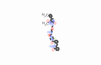 CC(=O)Nc1cc(-c2cccc(C)c2)cnc1C(=O)NCCOCCNCC(=O)N1CCN(C(=O)c2cc(Cc3n[nH]c(=O)c4ccccc34)ccc2F)CC1